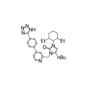 CCCCc1cn(C2C(CC)CCCC2CC)c(=O)n1Cc1cc(-c2ccc(-c3nnn[nH]3)cc2)ccn1